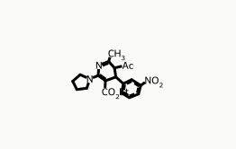 CCOC(=O)C1=C(N2CCCC2)N=C(C)C(C(C)=O)C1c1cccc([N+](=O)[O-])c1